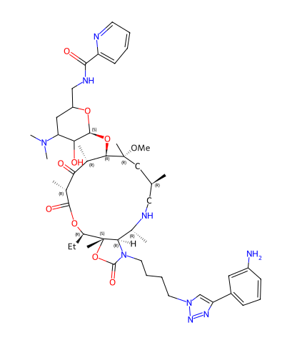 CC[C@H]1OC(=O)[C@H](C)C(=O)[C@H](C)[C@@H](O[C@@H]2OC(CNC(=O)c3ccccn3)CC(N(C)C)C2O)[C@](C)(OC)C[C@@H](C)CN[C@H](C)[C@H]2N(CCCCn3cc(-c4cccc(N)c4)nn3)C(=O)O[C@]12C